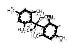 COC(OC)(c1c(C)cc(C)cc1C)c1c(C)cc(C)cc1C